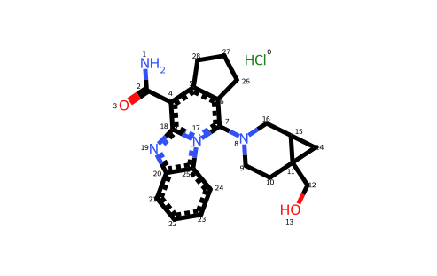 Cl.NC(=O)c1c2c(c(N3CCC4(CO)CC4C3)n3c1nc1ccccc13)CCC2